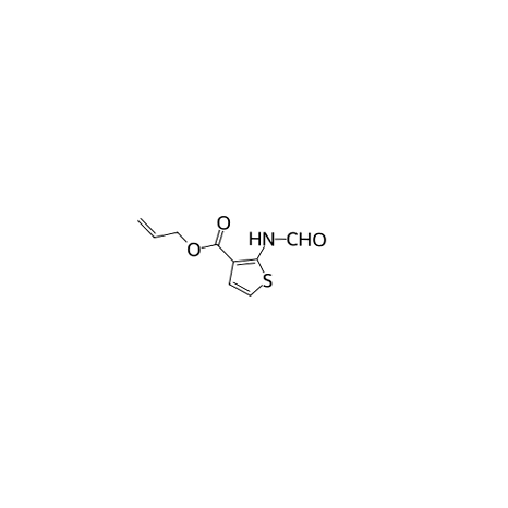 C=CCOC(=O)c1ccsc1NC=O